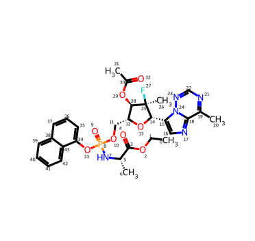 CCOC(=O)[C@H](C)NP(=O)(OC[C@H]1O[C@@H](c2cnc3c(C)ncnn23)[C@](C)(F)[C@@H]1OC(C)=O)Oc1cccc2ccccc12